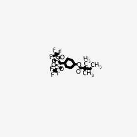 CCC(C)(C)C(=O)OC1CCC(C(S(=O)(=O)C(F)(F)F)S(=O)(=O)C(F)(F)F)CC1